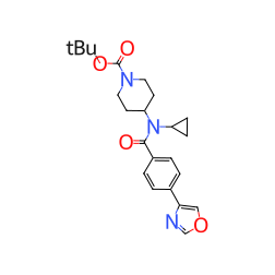 CC(C)(C)OC(=O)N1CCC(N(C(=O)c2ccc(-c3cocn3)cc2)C2CC2)CC1